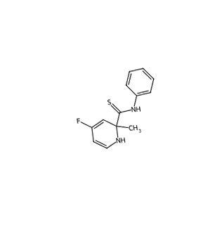 CC1(C(=S)Nc2ccccc2)C=C(F)C=CN1